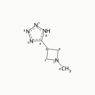 CN1CC(c2nnn[nH]2)C1